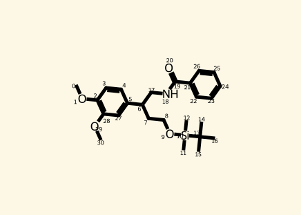 COc1ccc(C(CCO[Si](C)(C)C(C)(C)C)CNC(=O)c2ccccc2)cc1OC